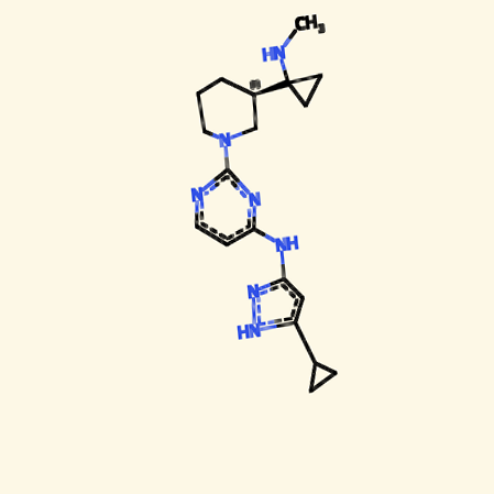 CNC1([C@@H]2CCCN(c3nccc(Nc4cc(C5CC5)[nH]n4)n3)C2)CC1